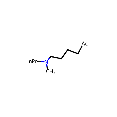 CCCN(C)CCCCC(C)=O